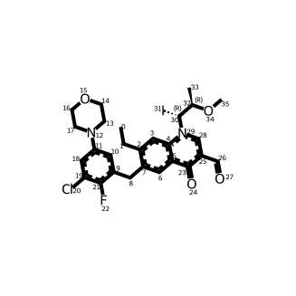 CCc1cc2c(cc1Cc1cc(N3CCOCC3)cc(Cl)c1F)c(=O)c(C=O)cn2[C@H](I)[C@@H](C)OC